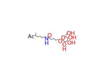 CC(=O)C(C)CCCCNC(=O)CCCCOC1OC(CO)C(O)C(O)C1O